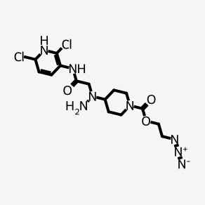 [N-]=[N+]=NCCOC(=O)N1CCC(N(N)CC(=O)NC2=C(Cl)NC(Cl)C=C2)CC1